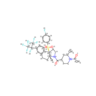 CC(=O)N1CCC(C(=O)N2CC[C@@]3(S(=O)(=O)c4ccc(F)cc4)c4ccc(C(F)(C(F)(F)F)C(F)(F)F)cc4CC[C@@H]23)CC1C